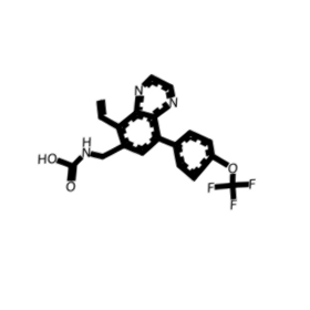 C=Cc1c(CNC(=O)O)cc(-c2ccc(OC(F)(F)F)cc2)c2nccnc12